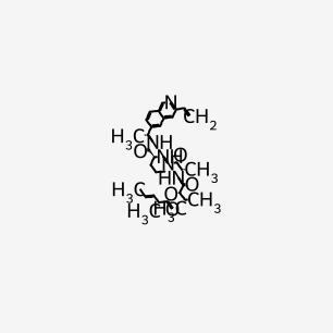 C=Cc1cc2cc([C@@H](C)NC(=O)[C@@H]3CCCN(C(=O)[C@H](C)NC(=O)[C@@H](OC(=O)C(C)/C=C/C)C(C)C)N3)ccc2cn1